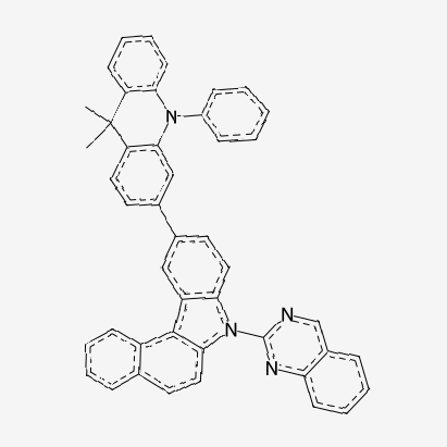 CC1(C)c2ccccc2N(c2ccccc2)c2cc(-c3ccc4c(c3)c3c5ccccc5ccc3n4-c3ncc4ccccc4n3)ccc21